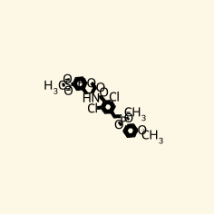 COc1cccc(P(=O)(CCc2cc(Cl)c(C(=O)N[C@@H](Cc3cccc(S(C)(=O)=O)c3)C(=O)O)c(Cl)c2)OC)c1